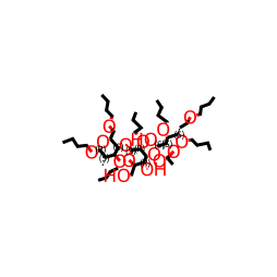 CCCCOCC[C@H](OCCCC)C(OCCCC)[C@H](OC(C)=O)[C@@H](O)OC1[C@H](O)C(CO)O[C@@H](O[C@@H]2C(COCCCC)O[C@@H](OCCCC)[C@@H](C)C2OCCCC)[C@@H]1OCCCC